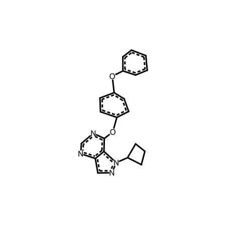 c1ccc(Oc2ccc(Oc3ncnc4cnn(C5CCC5)c34)cc2)cc1